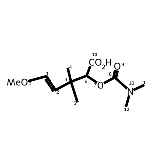 CO/C=C/C(C)(C)C(OC(=O)N(C)C)C(=O)O